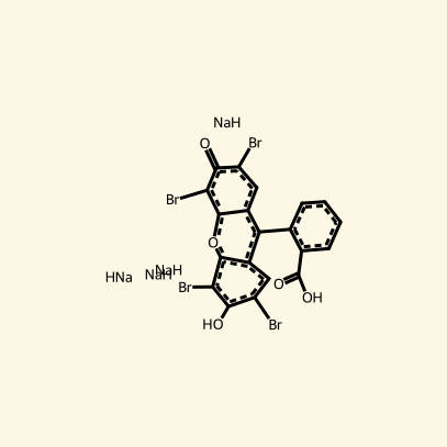 O=C(O)c1ccccc1-c1c2cc(Br)c(=O)c(Br)c-2oc2c(Br)c(O)c(Br)cc12.[NaH].[NaH].[NaH].[NaH]